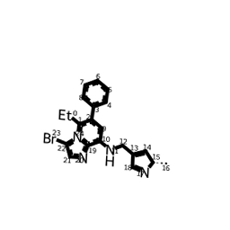 CCc1c(-c2ccccc2)cc(NCC2=C[C@H](C)N=C2)c2ncc(Br)n12